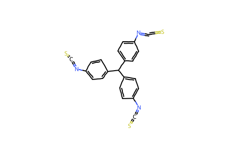 S=C=Nc1ccc(C(c2ccc(N=C=S)cc2)c2ccc(N=C=S)cc2)cc1